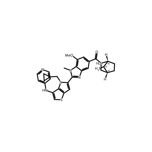 COc1cc(C(=O)N2C[C@H]3CC[C@@H]2[C@@H]3N)cc2nc(-c3cc4scc(Nc5ccncc5)c4n3CC3CC3)n(C)c12